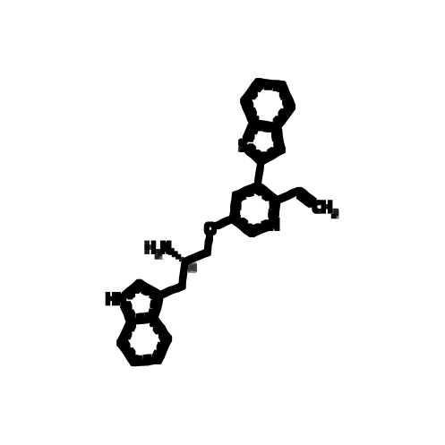 C=Cc1ncc(OC[C@@H](N)Cc2c[nH]c3ccccc23)cc1-c1cc2ccccc2s1